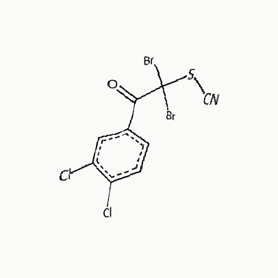 N#CSC(Br)(Br)C(=O)c1ccc(Cl)c(Cl)c1